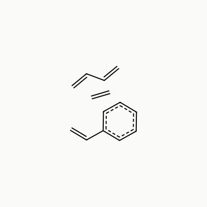 C=C.C=CC=C.C=Cc1ccccc1